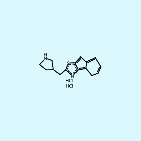 C1=CCC2=c3nc(CC4CCNC4)sc3=CC2=C1.Cl.Cl